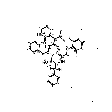 [2H]C([2H])(c1ccccc1)[C@H](NC(=O)COc1c(C)cccc1C)[C@@H](O)C[C@H](Cc1ccccc1)NC(=O)[C@H](C(C)C)N1CCCNC1=O